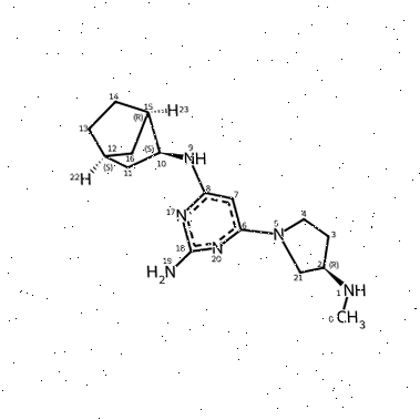 CN[C@@H]1CCN(c2cc(N[C@H]3C[C@H]4CC[C@@H]3C4)nc(N)n2)C1